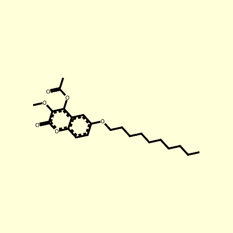 CCCCCCCCCCOc1ccc2oc(=O)c(OC)c(OC(C)=O)c2c1